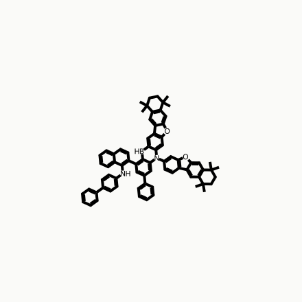 CC1(C)CCC(C)(C)c2cc3c(cc21)oc1cc(N2c4cc5oc6cc7c(cc6c5cc4Bc4c(-c5ccc6ccccc6c5Nc5ccc(-c6ccccc6)cc5)cc(-c5ccccc5)cc42)C(C)(C)CCC7(C)C)ccc13